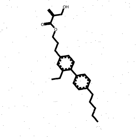 C=C(CO)C(=O)OCCCc1ccc(-c2ccc(CCCCC)cc2)c(CC)c1